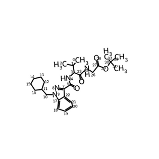 CC(C)C(NC(=O)c1nn(CC2CCCCC2)c2ccccc12)C(=O)NCC(=O)OC(C)(C)C